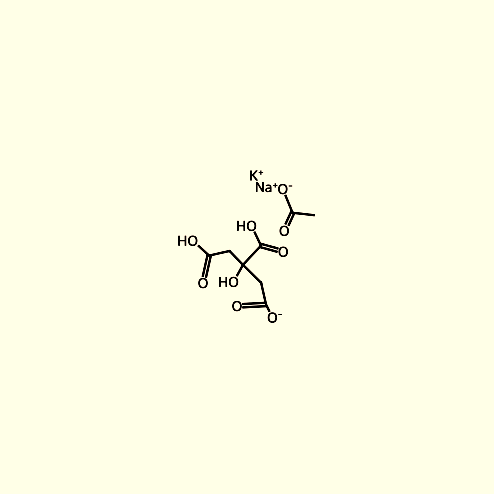 CC(=O)[O-].O=C([O-])CC(O)(CC(=O)O)C(=O)O.[K+].[Na+]